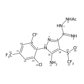 CC(=O)NNC(=N)c1nn(-c2c(Cl)cc(C(F)(F)F)cc2Cl)c(N)c1[S+]([O-])C(F)(F)F